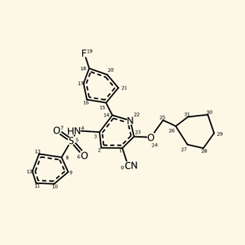 N#Cc1cc(NS(=O)(=O)c2ccccc2)c(-c2ccc(F)cc2)nc1OCC1CCCCC1